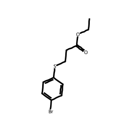 CCOC(=O)CCSc1ccc(Br)cc1